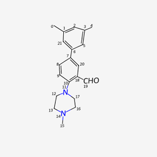 Cc1cc(C)cc(-c2ccc(N3CCN(C)CC3)c(C=O)c2)c1